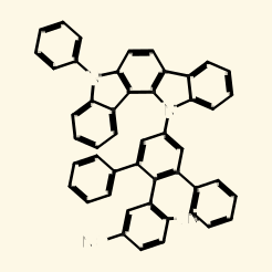 N#Cc1ccc(C#N)c(-c2c(-c3ccccc3)cc(-n3c4ccccc4c4ccc5c(c6ccccc6n5-c5ccccc5)c43)cc2-c2ccccc2)c1